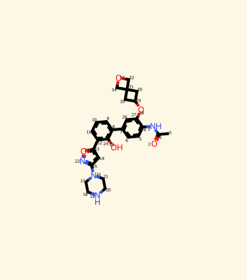 CC(=O)Nc1ccc(-c2cccc(-c3cc(N4CCNCC4)no3)c2O)cc1OC1CC2(COC2)C1